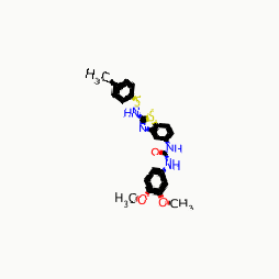 COc1ccc(NC(=O)Nc2ccc3sc(NSc4ccc(C)cc4)nc3c2)cc1OC